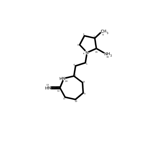 CC1CCN(CCC2CCCCC(=N)N2)C1N